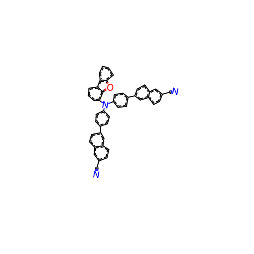 N#Cc1ccc2cc(-c3ccc(N(c4ccc(-c5ccc6cc(C#N)ccc6c5)cc4)c4cccc5c4oc4ccccc45)cc3)ccc2c1